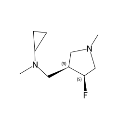 CN1C[C@H](CN(C)C2CC2)[C@H](F)C1